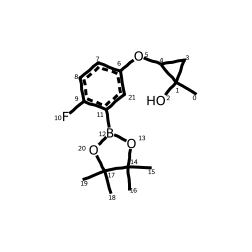 CC1(O)CC1Oc1ccc(F)c(B2OC(C)(C)C(C)(C)O2)c1